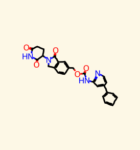 O=C1CCC(N2Cc3ccc(COC(=O)Nc4cc(-c5ccccc5)ccn4)cc3C2=O)C(=O)N1